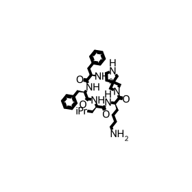 CC(C)C[C@@H](NC(=O)[C@@H](Cc1ccccc1)NC(=O)[C@H](N)Cc1ccccc1)C(=O)N[C@H](CCCCN)C(=O)N1CC2(CCNC2)C1